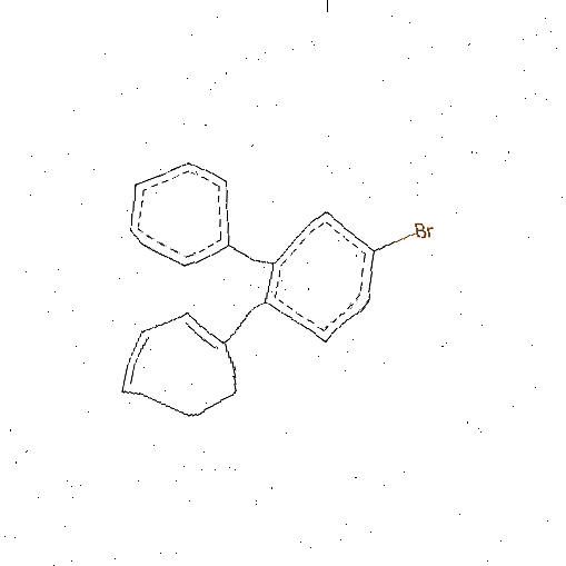 Brc1ccc(C2=CC=CCC2)c(-c2ccccc2)c1